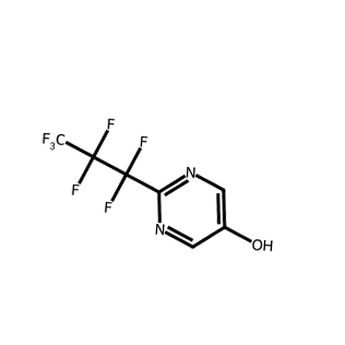 Oc1cnc(C(F)(F)C(F)(F)C(F)(F)F)nc1